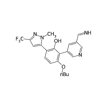 CCCCOc1ccc(-c2cc(C(F)(F)F)nn2C)c(O)c1-c1cncc(C=N)c1